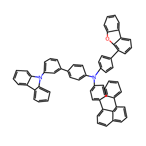 c1ccc(-c2cccc3cccc(-c4ccc(N(c5ccc(-c6cccc(-n7c8ccccc8c8ccccc87)c6)cc5)c5ccc(-c6cccc7c6oc6ccccc67)cc5)cc4)c23)cc1